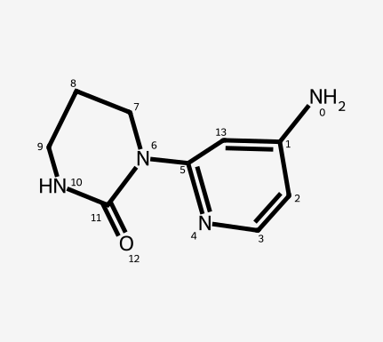 Nc1ccnc(N2CCCNC2=O)c1